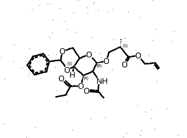 C=CCOC(=O)[C@@H](C)CO[C@@H]1OC2COC(c3ccccc3)O[C@H]2[C@H](OC(=O)CC)C1NC(C)=O